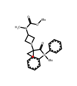 CN(C(=O)OC(C)(C)C)C1CN(C2(C(=O)[Si](c3ccccc3)(c3ccccc3)C(C)(C)C)CC2)C1